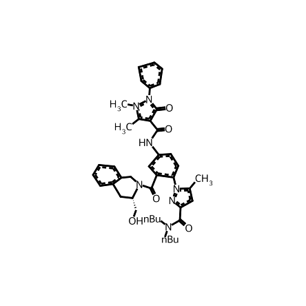 CCCCN(CCCC)C(=O)c1cc(C)n(-c2ccc(NC(=O)c3c(C)n(C)n(-c4ccccc4)c3=O)cc2C(=O)N2Cc3ccccc3C[C@H]2CO)n1